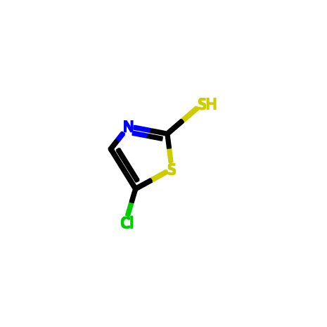 Sc1ncc(Cl)s1